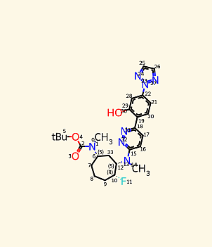 CN(C(=O)OC(C)(C)C)[C@H]1CCC[C@@H](F)[C@@H](N(C)c2ccc(-c3ccc(-n4nccn4)cc3O)nn2)C1